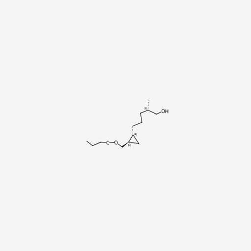 CCCCOC[C@@H]1C[C@H]1CCC[C@H](C)CO